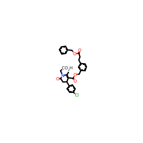 CC1=C(C(=O)OCc2cccc(CCC(=O)OCc3ccccc3)c2)C(c2ccc(Cl)cc2)CC(=O)N1CC(=O)O